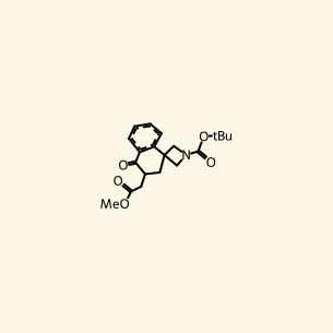 COC(=O)CC1CC2(CN(C(=O)OC(C)(C)C)C2)c2ccccc2C1=O